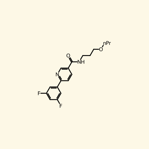 CCCOCCCNC(=O)c1ccc(-c2cc(F)cc(F)c2)nc1